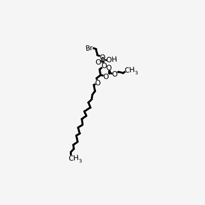 CCCCCCCCCCCCCCCCCCOCC(COP(=O)(O)OCCBr)OC(=O)OCCC